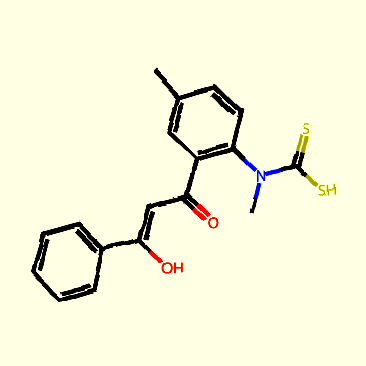 Cc1ccc(N(C)C(=S)S)c(C(=O)/C=C(\O)c2ccccc2)c1